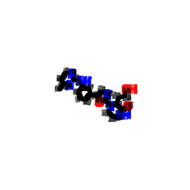 Cc1ccnc(Nc2cccc(-c3cnc(N4CCNC(=O)C4CCO)o3)c2)n1